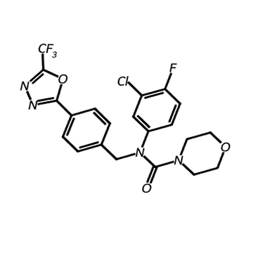 O=C(N1CCOCC1)N(Cc1ccc(-c2nnc(C(F)(F)F)o2)cc1)c1ccc(F)c(Cl)c1